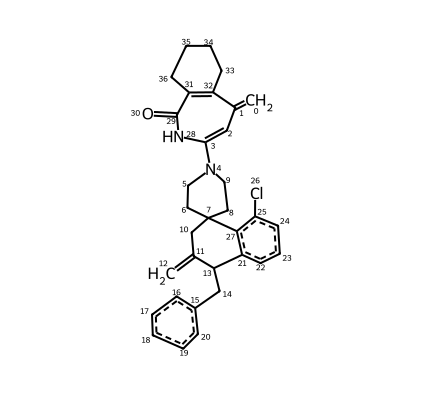 C=C1C=C(N2CCC3(CC2)CC(=C)C(Cc2ccccc2)c2cccc(Cl)c23)NC(=O)C2=C1CCCC2